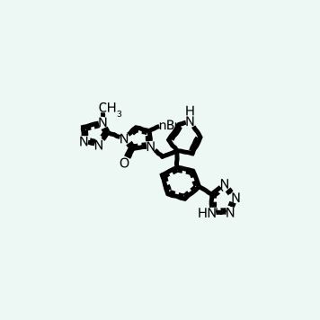 CCCCc1cn(-c2nncn2C)c(=O)n1CC1(c2cccc(-c3nnn[nH]3)c2)C=CNC=C1